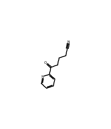 N#CCCCC(=O)c1ccccn1